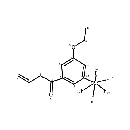 C=CCC(=O)c1cc(OCC)cc(S(F)(F)(F)(F)F)c1